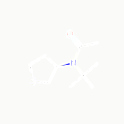 CC(=O)N([C@@H]1CCSC1)C(C)(C)C